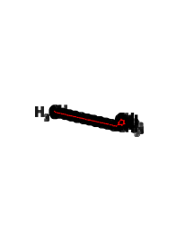 C=CCOC(C)COC(C)COC(C)COC(C)COC(C)COCCOCCOCCOCCOCCOCCOCCOCCOCCOCCOCCOCCOCCOCCOCCOCCOCCOCCOCCOCCOC(=O)C(=C)C